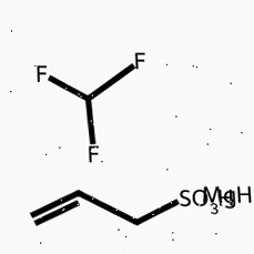 C=CCS(=O)(=O)O.FC(F)F.[MgH2]